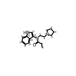 CCC(=O)N(CCN1CCCC1)c1c[nH]c2ccccc12